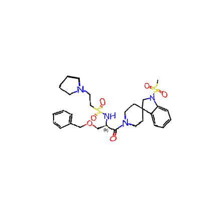 CS(=O)(=O)N1CC2(CCN(C(=O)[C@@H](COCc3ccccc3)NS(=O)(=O)CCN3CCCC3)CC2)c2ccccc21